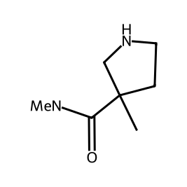 CNC(=O)C1(C)CCNC1